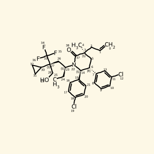 C=CC[C@@]1(C)C[C@H](c2cccc(Cl)c2)[C@@H](c2ccc(Cl)cc2)N([C@@H](CC)C[C@@](CO)(C2CC2)C(F)(F)F)C1=O